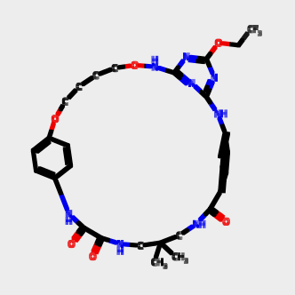 CC1(C)CNC(=O)C(=O)Nc2ccc(cc2)OCCCCONc2nc(nc(OCC(F)(F)F)n2)Nc2ccc(cc2)C(=O)NC1